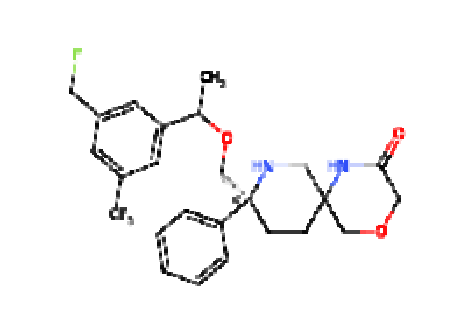 CC(OC[C@@]1(c2ccccc2)CCC2(CN1)COCC(=O)N2)c1cc(CF)cc(C(F)(F)F)c1